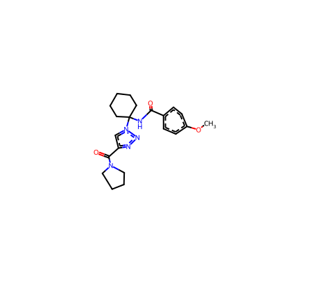 COc1ccc(C(=O)NC2(n3cc(C(=O)N4CCCC4)nn3)CCCCC2)cc1